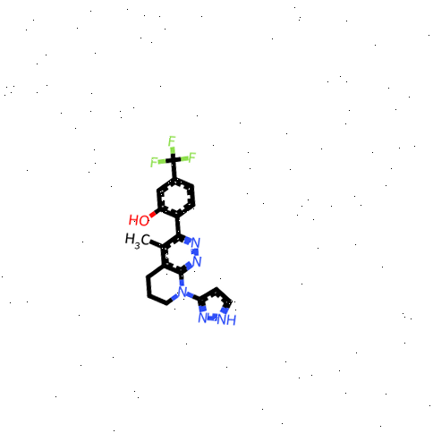 Cc1c(-c2ccc(C(F)(F)F)cc2O)nnc2c1CCCN2c1cc[nH]n1